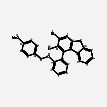 CCc1nc2c(c(-c3ccccc3OCc3ccc(OC)cc3)c1CC)-c1ccccc1C2